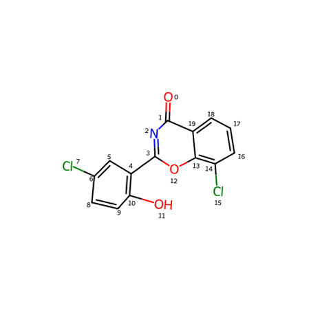 O=c1nc(-c2cc(Cl)ccc2O)oc2c(Cl)cccc12